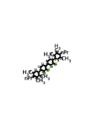 CCCc1c(C)cc(-c2ccc(-c3ccc(-c4cc(C)c(CCC)c(C)c4C)c(F)c3F)cc2F)c(C)c1C